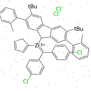 Cc1ccccc1-c1cc2c(cc1C(C)(C)C)-c1cc(C(C)(C)C)c(-c3ccccc3C)cc1[CH]2[Zr+2]([C]1=CC=CC1)=[C](c1ccc(Cl)cc1)c1ccc(Cl)cc1.[Cl-].[Cl-]